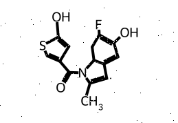 CC1=[C]C2=CC(O)=C(F)CC2N1C(=O)c1csc(O)c1